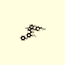 COC1CC(CO)OCC1Nc1ncnc2[nH]cc(C(=O)c3ccc(Oc4ccccc4)cc3C)c12